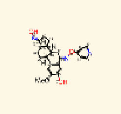 COc1cc2c(cc1O)C(=NOc1ccncc1)C[C@@H]1[C@@H]2CC[C@]2(C)C(=NO)CC[C@@H]12